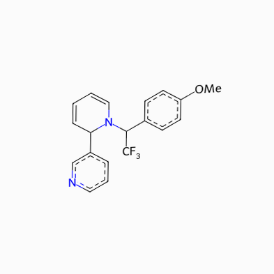 COc1ccc(C(N2C=CC=CC2c2cccnc2)C(F)(F)F)cc1